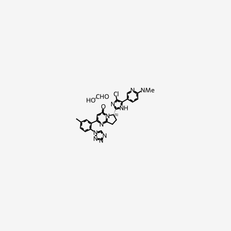 CNc1ccc(-c2[nH]c([C@@H]3CCc4nc(-c5cc(C)ccc5-n5cnnn5)cc(=O)n43)nc2Cl)cn1.O=CO